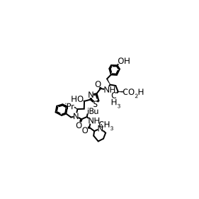 CCC(C)C(NC(=O)C1CCCCN1C)C(=O)N(Cc1ccccc1)[C@H](C[C@@H](O)c1nc(C(=O)N[C@@H](Cc2ccc(O)cc2)C[C@H](C)C(=O)O)cs1)C(C)C